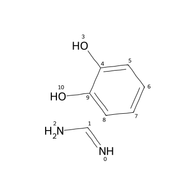 N=CN.Oc1ccccc1O